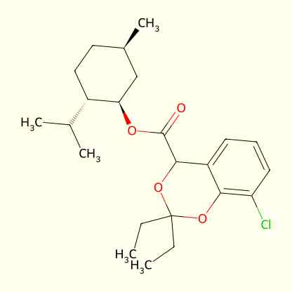 CCC1(CC)Oc2c(Cl)cccc2C(C(=O)O[C@@H]2C[C@H](C)CC[C@H]2C(C)C)O1